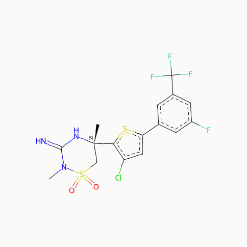 CN1C(=N)N[C@](C)(c2sc(-c3cc(F)cc(C(F)(F)F)c3)cc2Cl)CS1(=O)=O